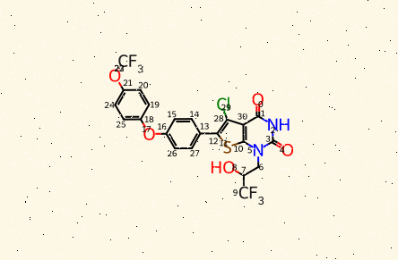 O=c1[nH]c(=O)n(CC(O)C(F)(F)F)c2sc(-c3ccc(Oc4ccc(OC(F)(F)F)cc4)cc3)c(Cl)c12